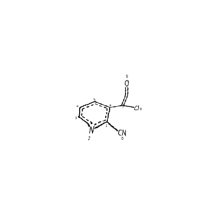 N#Cc1ncccc1C(=O)Cl